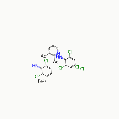 CC(=O)c1cccnc1C(C)=O.N=C1C(Cl)=CC=CC1Cl.N=C1C(Cl)=CC=CC1Cl.[Cl-].[Cl-].[Fe+2]